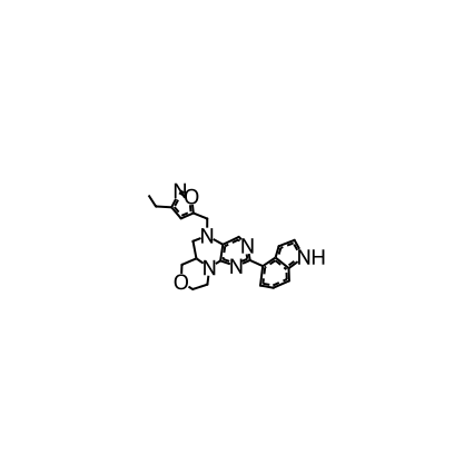 CCc1cc(CN2CC3COCCN3c3nc(-c4cccc5[nH]ccc45)ncc32)on1